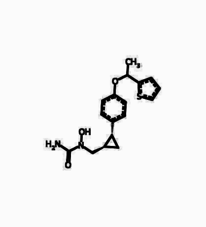 CC(Oc1ccc([C@@H]2C[C@H]2CN(O)C(N)=O)cc1)c1cccs1